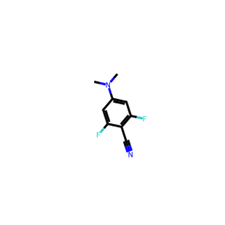 CN(C)c1cc(F)c(C#N)c(F)c1